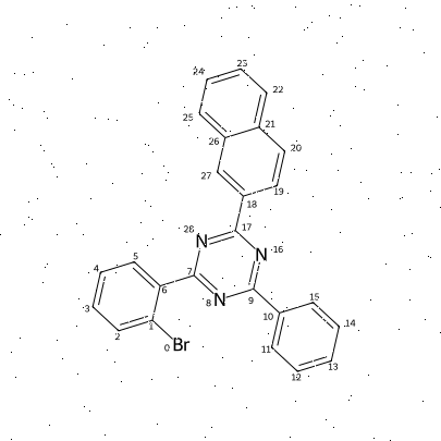 Brc1ccccc1-c1nc(-c2ccccc2)nc(-c2ccc3ccccc3c2)n1